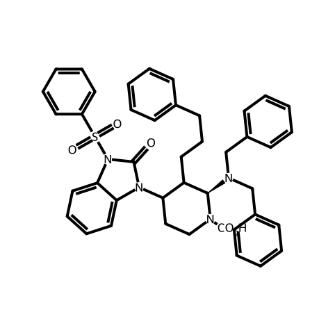 O=C(O)N1CCC(n2c(=O)n(S(=O)(=O)c3ccccc3)c3ccccc32)C(CCCc2ccccc2)[C@H]1N(Cc1ccccc1)Cc1ccccc1